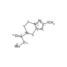 Cc1cc2n(n1)CCN(C(=O)OC(C)(C)C)C2